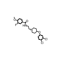 COc1ccc(C(=O)NCCN2CCC(Oc3ccc(Cl)c(Cl)c3)CC2)cc1F